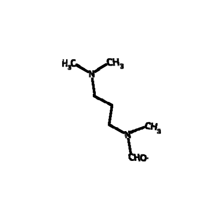 CN(C)CCCN(C)[C]=O